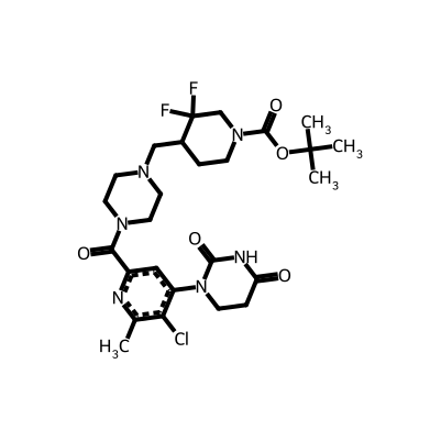 Cc1nc(C(=O)N2CCN(CC3CCN(C(=O)OC(C)(C)C)CC3(F)F)CC2)cc(N2CCC(=O)NC2=O)c1Cl